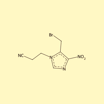 N#CCCn1cnc([N+](=O)[O-])c1CBr